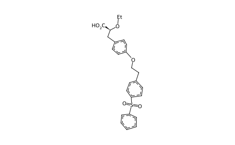 CCO[C@@H](Cc1ccc(OCCc2ccc(S(=O)(=O)c3ccccc3)cc2)cc1)C(=O)O